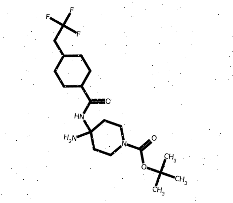 CC(C)(C)OC(=O)N1CCC(N)(NC(=O)C2CCC(CC(F)(F)F)CC2)CC1